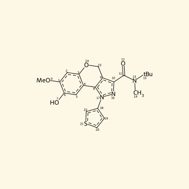 COc1cc2c(cc1O)-c1c(c(C(=O)N(C)C(C)(C)C)nn1-c1ccsc1)CO2